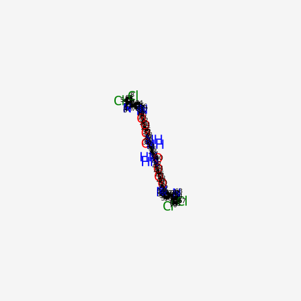 CN1Cc2c(Cl)cc(Cl)cc2C(c2ccc3cnn(CCOCCOCCOCCNC(=O)NCCCCNC(=O)NCCOCCOCCOCCn4ncc5ccc(C6CN(C)Cc7c(Cl)cc(Cl)cc76)cc54)c3c2)C1